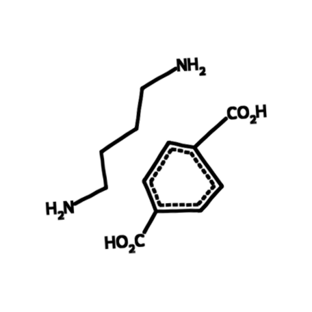 NCCCCN.O=C(O)c1ccc(C(=O)O)cc1